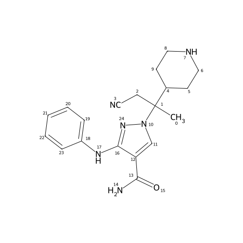 CC(CC#N)(C1CCNCC1)n1cc(C(N)=O)c(Nc2ccccc2)n1